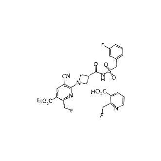 CCOC(=O)c1cc(C#N)c(N2CC(C(=O)NS(=O)(=O)Cc3cccc(F)c3)C2)nc1CF.O=C(O)c1cccnc1CF